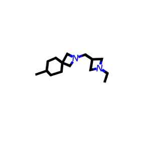 CCN1CC(CN2CC3(CCC(C)CC3)C2)C1